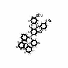 CC(C)(C)c1ccc2c(c1)B1c3cc(C(C)(C)C)ccc3Oc3cc(N4c5ccccc5[Si](c5ccccc5)(c5ccccc5)c5ccccc54)cc(c31)O2